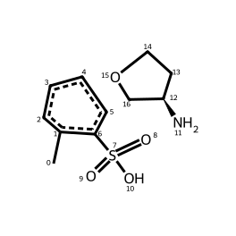 Cc1ccccc1S(=O)(=O)O.N[C@@H]1CCOC1